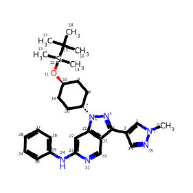 Cn1cc(-c2nn([C@H]3CC[C@H](O[Si](C)(C)C(C)(C)C)CC3)c3cc(Nc4ccccc4)ncc23)cn1